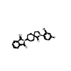 O=C1c2ccccc2C(=O)N1C1CCC2(CC1)CCN(c1ccc(F)cc1Cl)C2=O